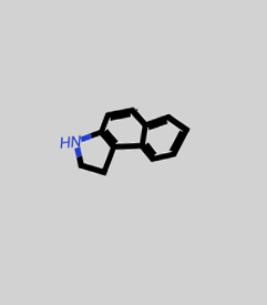 [c]1cc2c(c3ccccc13)CCN2